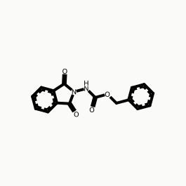 O=C(NN1C(=O)c2ccccc2C1=O)OCc1ccccc1